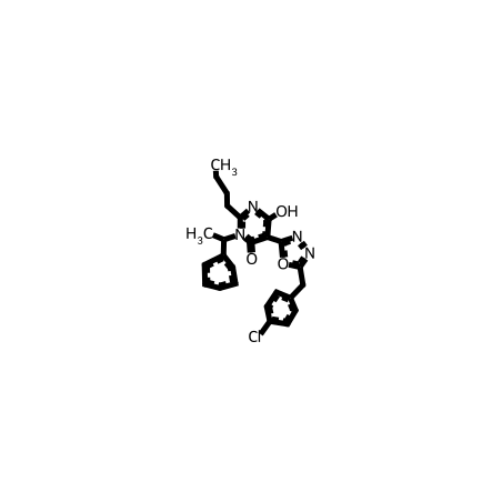 CCCCc1nc(O)c(-c2nnc(Cc3ccc(Cl)cc3)o2)c(=O)n1C(C)c1ccccc1